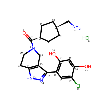 Cl.NC[C@H]1CC[C@H](C(=O)N2CCc3[nH]nc(-c4cc(Cl)c(O)cc4O)c3C2)CC1